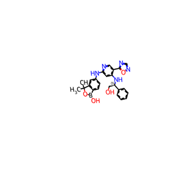 CC1(C)OB(O)c2ccc(Nc3cc(N[C@H](CO)c4ccccc4)c(-c4ncno4)cn3)cc21